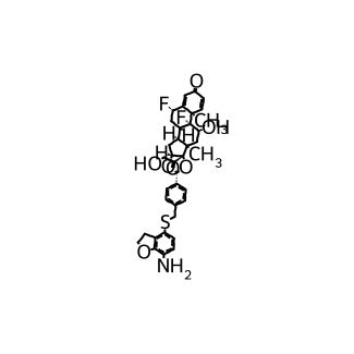 C[C@]12C=CC(=O)C=C1[C@@H](F)C[C@H]1[C@@H]3C[C@H]4O[C@@H](c5ccc(CSc6ccc(N)c7c6CCO7)cc5)O[C@@]4(C(=O)CO)[C@@]3(C)C[C@H](O)[C@@]12F